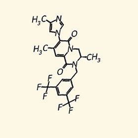 Cc1cn(-c2c(C)cc3n(c2=O)C[C@@H](C)N(Cc2cc(C(F)(F)F)cc(C(F)(F)F)c2)C3=O)cn1